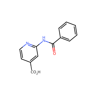 O=C(O)c1ccnc(NC(=O)c2ccccc2)c1